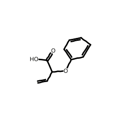 C=CC(Oc1ccccc1)C(=O)O